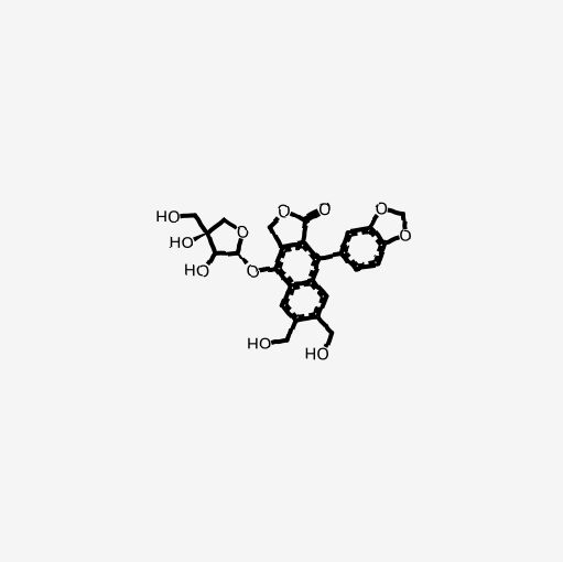 O=C1OCc2c1c(-c1ccc3c(c1)OCO3)c1cc(CO)c(CO)cc1c2O[C@@H]1OC[C@@](O)(CO)C1O